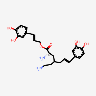 NCCC(CC=Cc1ccc(O)c(O)c1)C[C@H](N)C(=O)OCC=Cc1ccc(O)c(O)c1